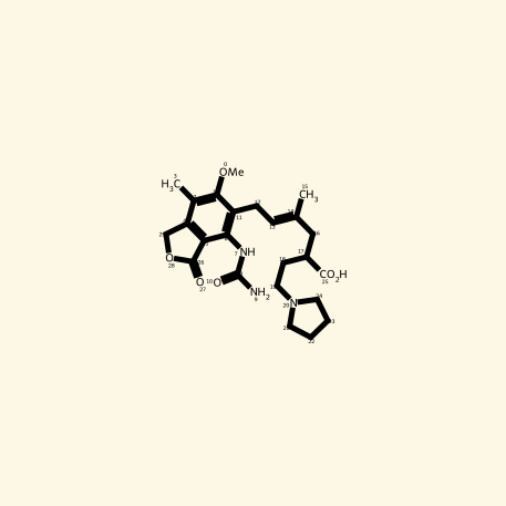 COc1c(C)c2c(c(NC(N)=O)c1C/C=C(\C)CC(CCN1CCCC1)C(=O)O)C(=O)OC2